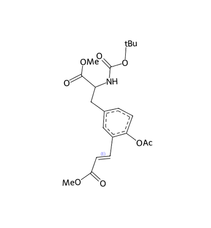 COC(=O)/C=C/c1cc(CC(NC(=O)OC(C)(C)C)C(=O)OC)ccc1OC(C)=O